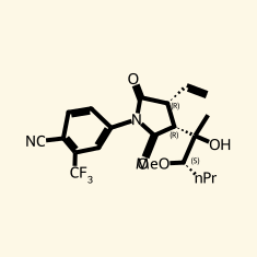 C=C[C@H]1C(=O)N(c2ccc(C#N)c(C(F)(F)F)c2)C(=O)[C@H]1C(C)(O)[C@H](CCC)OC